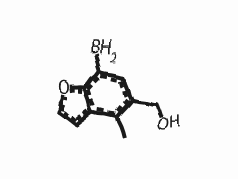 Bc1cc(CO)c(C)c2ccoc12